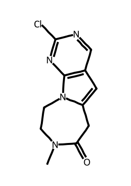 CN1CCn2c(cc3cnc(Cl)nc32)CC1=O